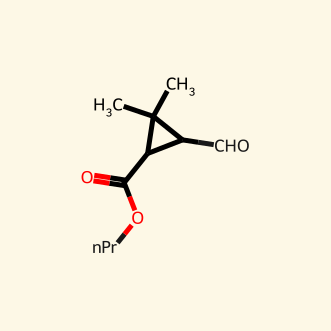 CCCOC(=O)C1C(C=O)C1(C)C